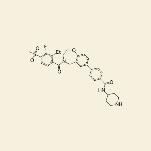 CCc1c(C(=O)N2CCOc3ccc(-c4ccc(C(=O)NC5CCNCC5)cc4)cc3C2)ccc(S(C)(=O)=O)c1F